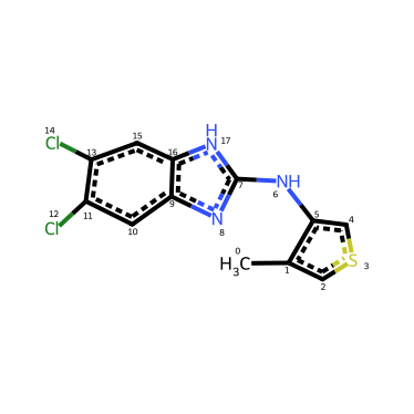 Cc1cscc1Nc1nc2cc(Cl)c(Cl)cc2[nH]1